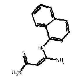 NC(=S)/C=C(/N)Nc1cccc2ccccc12